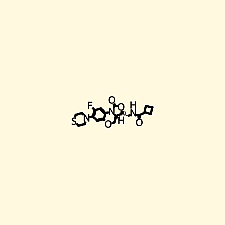 O=C(NC[C@H]1OC(=O)N2c3cc(F)c(N4CCSCC4)cc3OC[C@H]12)C1CCC1